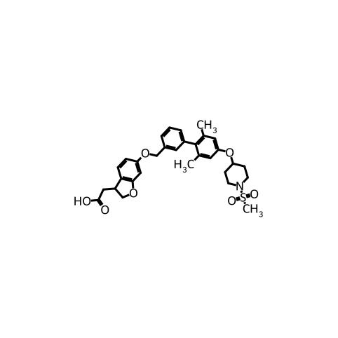 Cc1cc(OC2CCN(S(C)(=O)=O)CC2)cc(C)c1-c1cccc(COc2ccc3c(c2)OCC3CC(=O)O)c1